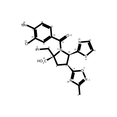 Cc1noc([C@H]2C[C@@](CC(C)C)(C(=O)O)N(C(=O)c3ccc(C(C)(C)C)c(Cl)c3)[C@H]2c2nccs2)n1